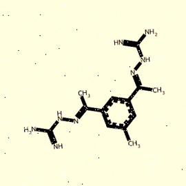 C/C(=N\NC(=N)N)c1cc(C)cc(/C(C)=N/NC(=N)N)c1